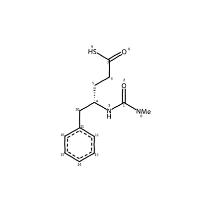 CNC(=O)N[C@@H](CCC(=O)S)Cc1ccccc1